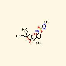 CCCC1(CCC)CC(O)=C([C@@H](CC)c2cccc(NS(=O)(=O)c3cn(C)cn3)c2)C(=O)O1